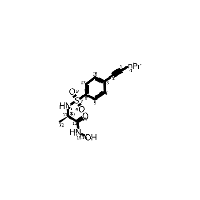 CCCC#Cc1ccc(S(=O)(=O)N[C@H](C)C(=O)NO)cc1